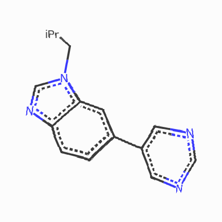 CC(C)Cn1cnc2ccc(-c3cncnc3)cc21